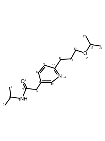 CC(C)NC(=O)Cc1ccc(CCCOC(C)C)nc1